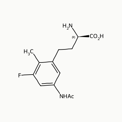 CC(=O)Nc1cc(F)c(C)c(CC[C@@H](N)C(=O)O)c1